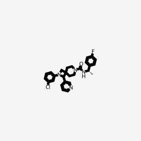 C[C@H](NC(=O)N1CCC2(CC1)CN(c1cccc(Cl)c1)C2c1cccnc1)c1ccc(F)cc1